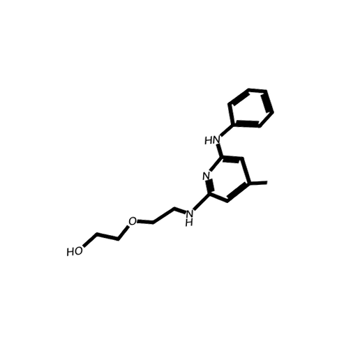 Cc1cc(NCCOCCO)nc(Nc2ccccc2)c1